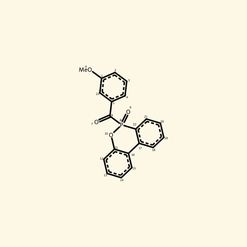 COc1cccc(C(=O)P2(=O)Oc3ccccc3-c3ccccc32)c1